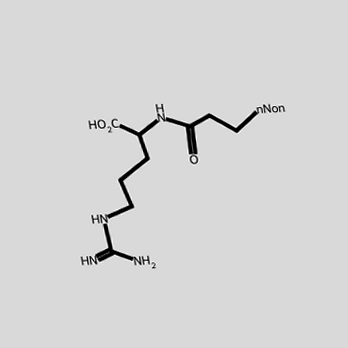 CCCCCCCCCCCC(=O)NC(CCCNC(=N)N)C(=O)O